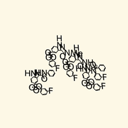 CNC(=O)c1n[nH]c2ccc(S(=O)(=O)Oc3cccc(F)c3)cc12.NC(=O)c1n[nH]c2ccc(S(=O)(=O)Oc3cccc(F)c3)cc12.O=C(Nc1ccccc1)c1n[nH]c2ccc(S(=O)(=O)Oc3cccc(F)c3)cc12.O=C(c1ccccc1)N(c1cccc(F)c1)c1n[nH]c2ccc(S(=O)(=O)Oc3cccc(F)c3)cc12